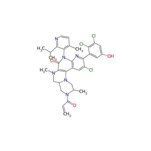 C=CC(=O)N1CC2CN(C)c3c(c4cc(Cl)c(-c5cc(O)cc(Cl)c5Cl)nc4n(-c4c(C)ccnc4C(C)C)c3=O)N2CC1C